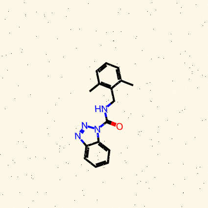 Cc1cccc(C)c1CNC(=O)n1nnc2ccccc21